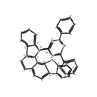 c1ccc(-c2nc(-c3ccccc3)nc(-n3c4ccccc4c4ccc5ccc6c7ccccc7sc6c5c43)n2)cc1